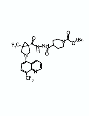 CC(C)(C)OC(=O)N1CCC(C(=O)NNC(=O)[C@]23CN(c4ccc(C(F)(F)F)c5ncccc45)C[C@@]2(C(F)(F)F)C3)CC1